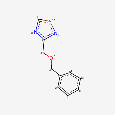 c1ccc(COCc2ncsn2)cc1